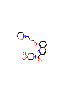 O=C(c1ccc2cccc(OCCCN3CCCCC3)c2n1)N1CCS(=O)(=O)CC1